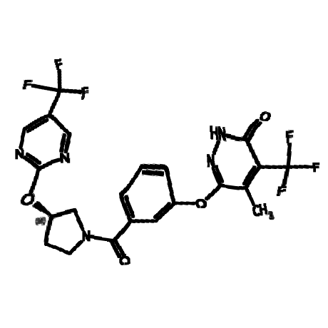 Cc1c(Oc2cccc(C(=O)N3CC[C@@H](Oc4ncc(C(F)(F)F)cn4)C3)c2)n[nH]c(=O)c1C(F)(F)F